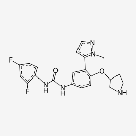 Cn1nccc1-c1cc(NC(=O)Nc2ccc(F)cc2F)ccc1OC1CCNC1